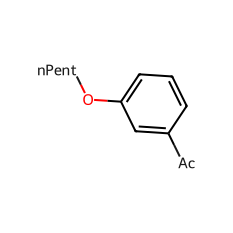 CCCCCOc1cccc(C(C)=O)c1